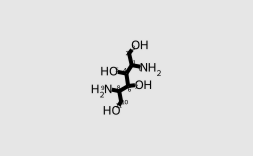 NC(CO)C(O)C(O)C(N)CO